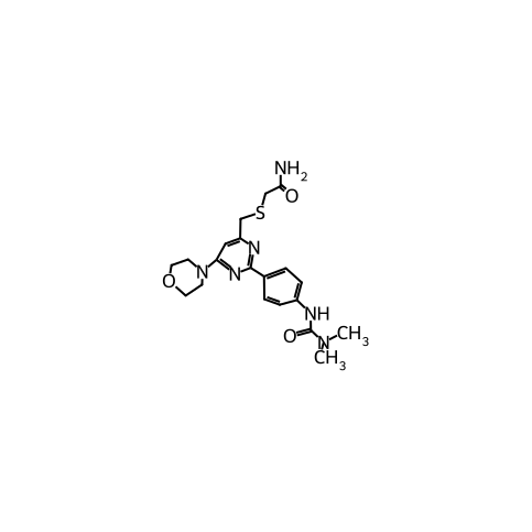 CN(C)C(=O)Nc1ccc(-c2nc(CSCC(N)=O)cc(N3CCOCC3)n2)cc1